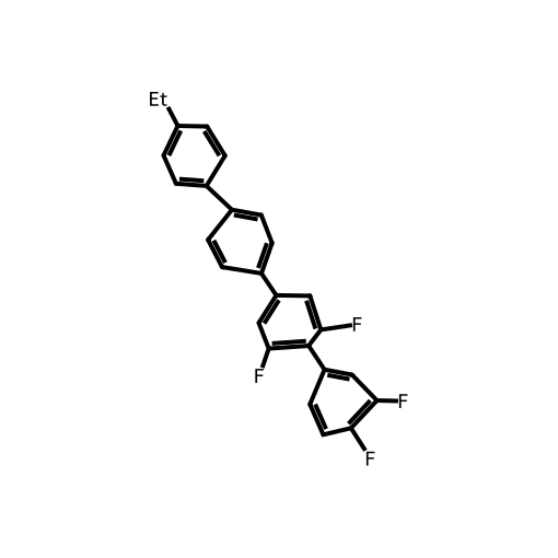 CCc1ccc(-c2ccc(-c3cc(F)c(-c4ccc(F)c(F)c4)c(F)c3)cc2)cc1